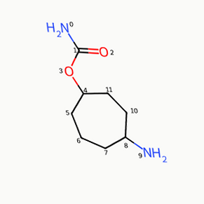 NC(=O)OC1CCCC(N)CC1